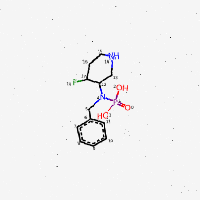 O=P(O)(O)N(Cc1ccccc1)C1CNCCC1F